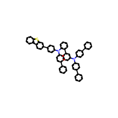 c1ccc(-c2ccc(N(c3ccc(-c4ccccc4)cc3)c3cccc(-c4ccccc4N(c4ccc(-c5ccccc5)cc4)c4ccc(-c5ccc6c(c5)sc5ccccc56)cc4)c3)cc2)cc1